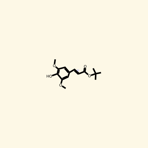 COc1cc(/C=C/C(=O)OC(C)(C)C)cc(OC)c1O